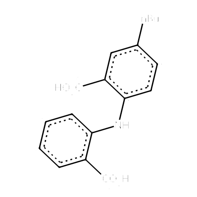 CCCCc1ccc(Nc2ccccc2C(=O)O)c(C(=O)O)c1